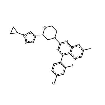 Cc1cnc2c(-c3ccc(Cl)cc3F)nc(N3CCO[C@@H](c4cnn(C5CC5)c4)C3)nc2n1